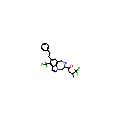 CC(CC(=O)C1Cn2ccc3c(C(F)(F)F)c(CCc4ccccc4)cc(c32)CN1)C(F)(F)F